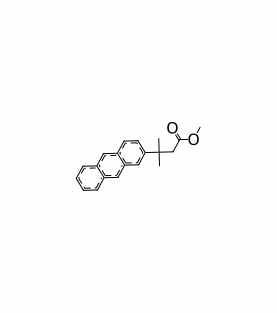 COC(=O)CC(C)(C)c1ccc2cc3ccccc3cc2c1